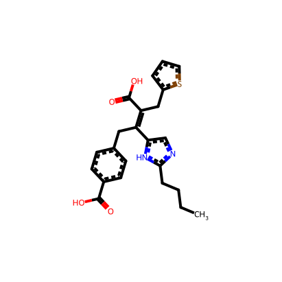 CCCCc1ncc(/C(Cc2ccc(C(=O)O)cc2)=C(\Cc2cccs2)C(=O)O)[nH]1